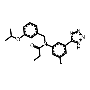 CCC(=O)N(Cc1cccc(OC(C)C)c1)c1cc(F)cc(-c2nnn[nH]2)c1